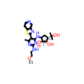 CCOCCNc1nc(C)c(-c2nc3cnccc3s2)c(NC2C[C@H](C(C)(C)O)[C@@H](O)[C@@]2(C)O)n1